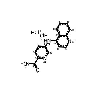 Cl.Cl.NC(=O)c1ccc(Nc2ccnc3ccccc23)cn1